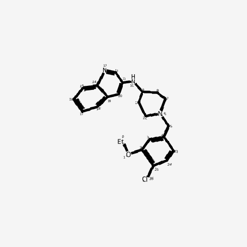 CCOc1cc(CN2CCC(Nc3cnc4ccccc4c3)CC2)ccc1Cl